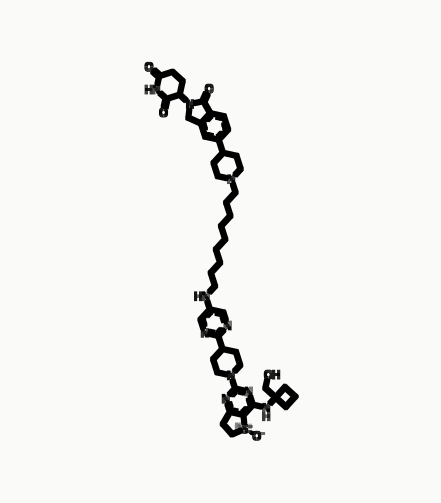 O=C1CCC(N2Cc3cc(C4CCN(CCCCCCCCCNc5cnc(C6CCN(c7nc8c(c(NC9(CO)CCC9)n7)[S@+]([O-])CC8)CC6)nc5)CC4)ccc3C2=O)C(=O)N1